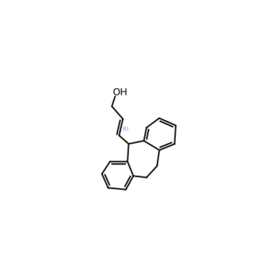 OC/C=C/C1c2ccccc2CCc2ccccc21